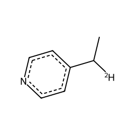 [2H]C(C)c1ccncc1